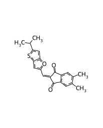 Cc1cc2c(cc1C)C(=O)C(=Cc1cc3sc(C(C)C)cc3o1)C2=O